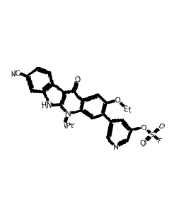 CCOc1cc2c(=O)c3c4ccc(C#N)cc4[nH]c3n(C(C)C)c2cc1-c1cncc(OS(=O)(=O)F)c1